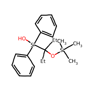 CCC(CC)(O[Si](C)(C)C)[Si](O)(c1ccccc1)c1ccccc1